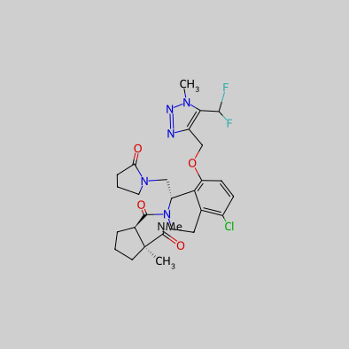 CNC(=O)[C@@]1(C)CCC[C@H]1C(=O)N1CCc2c(Cl)ccc(OCc3nnn(C)c3C(F)F)c2[C@H]1CN1CCCC1=O